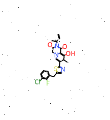 C=C[C@@H]1COC2CN3C=C(c4ncc(Cc5cccc(Cl)c5F)s4)C(C)C(O)=C3C(=O)N21